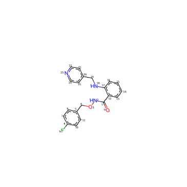 O=C(NOCc1ccc(F)cc1)c1ccccc1NCc1ccncc1